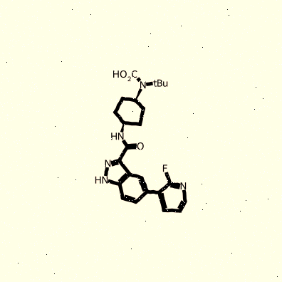 CC(C)(C)N(C(=O)O)[C@H]1CC[C@@H](NC(=O)c2n[nH]c3ccc(-c4cccnc4F)cc23)CC1